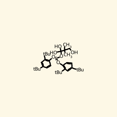 CC(C)(C)c1ccc(OP(Oc2ccc(C(C)(C)C)cc2C(C)(C)C)OC(O)(O)C(C)(C)CO)c(C(C)(C)C)c1